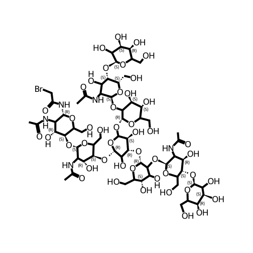 CC(=O)NC1C(O)[C@H](O[C@@H]2OC(CO)[C@H](O)[C@H](O)C2O)[C@H](CO)O[C@H]1OC1[C@@H](OC2O[C@@H](O[C@@H]3C(CO)O[C@@H](O[C@@H]4C(CO)O[C@@H](NC(=O)CBr)C(NC(C)=O)[C@H]4O)C(NC(C)=O)[C@H]3O)C(O)[C@@H](O[C@H]3OC(CO)[C@@H](O)C(O)C3O[C@@H]3OC(CO)[C@@H](O[C@@H]4OC(CO)[C@H](O)[C@H](O)C4O)[C@H](O)C3NC(C)=O)[C@@H]2O)OC(CO)[C@@H](O)[C@@H]1O